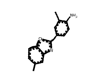 Cc1ccc2oc(-c3ccc(N)c(C)c3)nc2c1